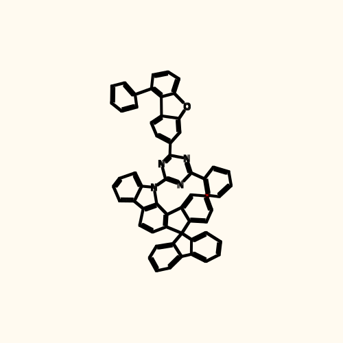 c1ccc(-c2nc(-c3ccc4c(c3)oc3cccc(-c5ccccc5)c34)nc(-n3c4ccccc4c4ccc5c(c43)-c3ccccc3C53c4ccccc4-c4ccccc43)n2)cc1